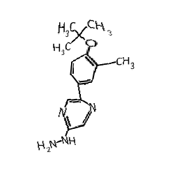 Cc1cc(-c2cnc(NN)cn2)ccc1OC(C)(C)C